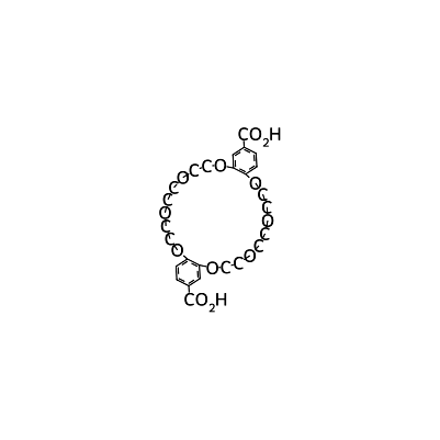 O=C(O)c1ccc2c(c1)OCCOCCOCCOc1ccc(C(=O)O)cc1OCCOCCOCCO2